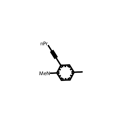 CCCC#Cc1cc(C)ccc1NC